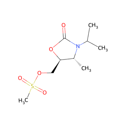 CC(C)N1C(=O)O[C@H](COS(C)(=O)=O)[C@H]1C